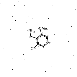 COc1[c]ccc(Cl)c1CN